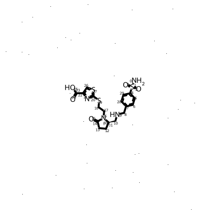 NS(=O)(=O)c1ccc(CNC[C@H]2CCC(=O)N2CCSc2nc(C(=O)O)cs2)cc1